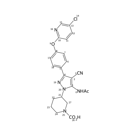 CC(=O)Nc1c(C#N)c(-c2ccc(Oc3ccc(Cl)cn3)cc2)nn1C1CCCN(C(=O)O)C1